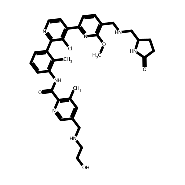 COc1nc(-c2ccnc(-c3cccc(NC(=O)c4ncc(CNCCO)cc4C)c3C)c2Cl)ccc1CNCC1CCC(=O)N1